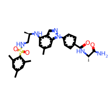 Cc1cc(C)c(S(=O)(=O)NC[C@@H](C)Nc2cc(C)cc3c2cnn3-c2ccc(C(=O)N[C@@H](C)C(N)=O)cc2)c(C)c1